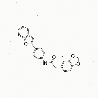 O=C(Cc1ccc2c(c1)OCO2)Nc1ccc(-c2cc3ccccc3o2)cc1